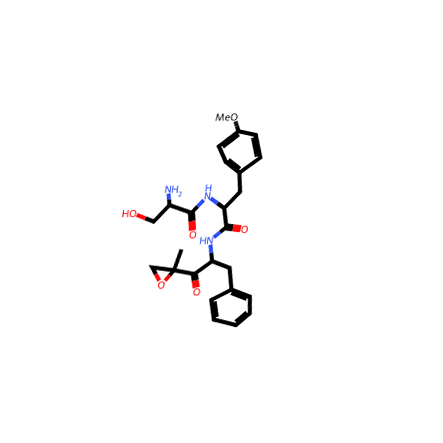 COc1ccc(CC(NC(=O)C(N)CO)C(=O)NC(Cc2ccccc2)C(=O)C2(C)CO2)cc1